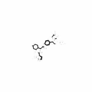 CCn1nccc1C(=O)NC(c1nc2cc(C(COC)N3CC(C(F)(F)F)NC3=O)ccc2o1)C1CCC(F)CC1